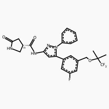 CC(C)(OCc1cc(F)cc(-c2cc(NC(=O)[C@@H]3CNC(=O)C3)nn2-c2ccccc2)c1)C(F)(F)F